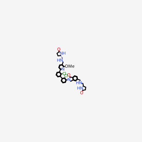 COc1nc(-c2cccc(-c3cccc(N4Cc5cc(CNCC6CCC(=O)N6)ccc5C4=O)c3Cl)c2Cl)ccc1CNC[C@@H]1CCC(=O)N1